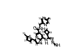 Cc1cnc(CNC(=O)c2cc(N/C(=N\N=N)C3CCC3)c3ncc(-c4ccc(C)s4)n3c2)cn1